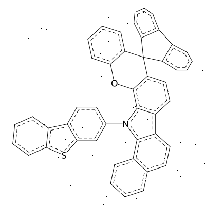 c1ccc2c(c1)Oc1c(ccc3c4ccc5ccccc5c4n(-c4ccc5c(c4)sc4ccccc45)c13)C21c2ccccc2-c2ccccc21